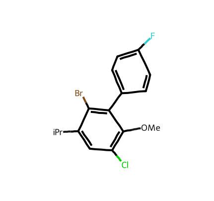 COc1c(Cl)cc(C(C)C)c(Br)c1-c1ccc(F)cc1